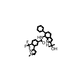 Cn1ccc(-c2cc(C(=O)Nc3c(-c4ccccc4)ccc4cc(C(C)(C)O)[nH]c34)ccc2C(F)(F)F)n1